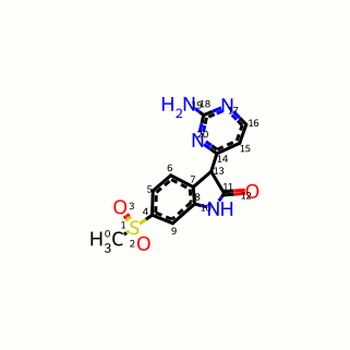 CS(=O)(=O)c1ccc2c(c1)NC(=O)C2c1ccnc(N)n1